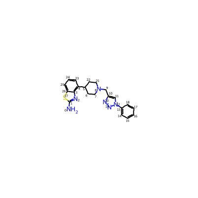 Nc1nc2c(C3CCN(Cc4cn(-c5ccccc5)nn4)CC3)cccc2s1